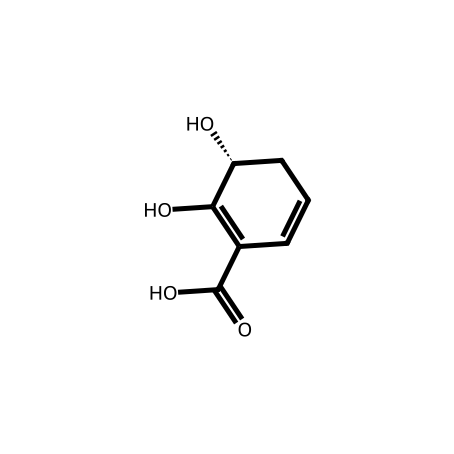 O=C(O)C1=C(O)[C@H](O)CC=C1